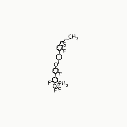 CCCc1cc2ccc(C3CCC(COc4ccc(-c5cc(F)c(OC(F)(F)F)c(P)c5)c(F)c4)CC3)c(F)c2s1